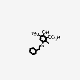 Cc1c(SCCc2ccccc2)cc(C(C)(C)C)c(O)c1C(=O)O